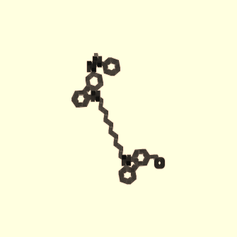 CN(N=C1C=Cc2c(c3ccccc3n2CCCCCCCCCCn2c3ccccc3c3cc(C=O)ccc32)C1)c1ccccc1